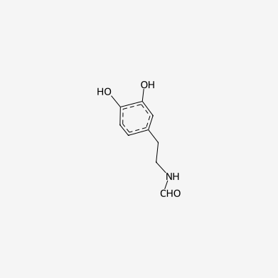 O=CNCCc1ccc(O)c(O)c1